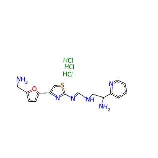 Cl.Cl.Cl.NCc1ccc(-c2csc(N=CNCC(N)c3ccccn3)n2)o1